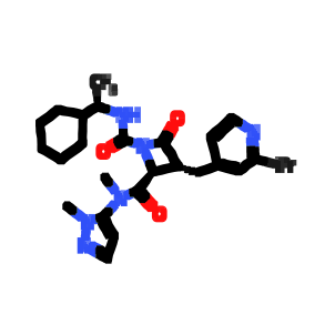 CC(C)c1cc(C[C@H]2C(=O)N(C(=O)N[C@@H](C3CCCCC3)C(F)(F)F)[C@@H]2C(=O)N(C)c2ccnn2C)ccn1